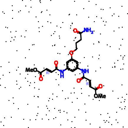 COC(=O)/C=C/C(=O)Nc1cc(NC(=O)/C=C/C(=O)OC)cc(OCCCC(N)=O)c1